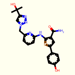 CC(C)(O)c1cn(Cc2cccc(Nc3sc(-c4ccc(O)cc4)cc3C(N)=O)n2)nn1